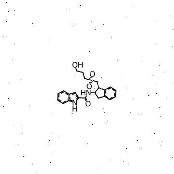 O=C(N[C@@H]1Cc2ccccc2[C@@H]1CS(=O)(=O)CCCO)c1cc2ccccc2[nH]1